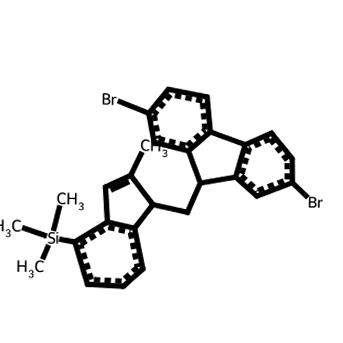 CC1=Cc2c(cccc2[Si](C)(C)C)C1CC1c2cc(Br)ccc2-c2ccc(Br)cc21